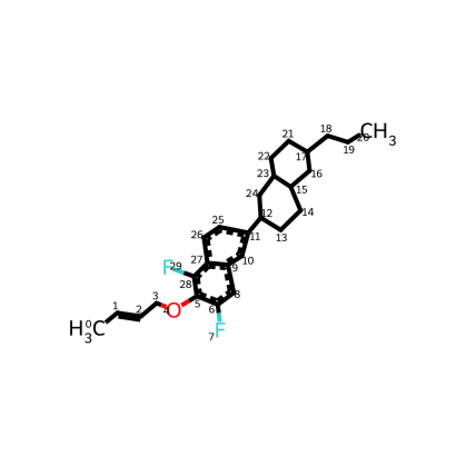 CC=CCOc1c(F)cc2cc(C3CCC4CC(CCC)CCC4C3)ccc2c1F